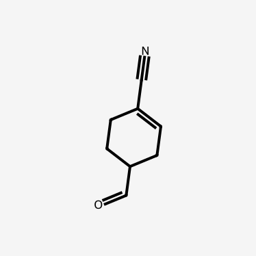 N#CC1=CCC(C=O)CC1